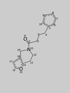 O=C(CCCc1ccccc1)N1CCc2occc2C1